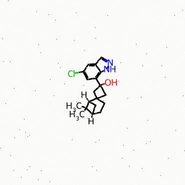 CC1(C)[C@H]2CCC3(CC(O)(c4cc(Cl)cc5cn[nH]c45)C3)[C@@H]1C2